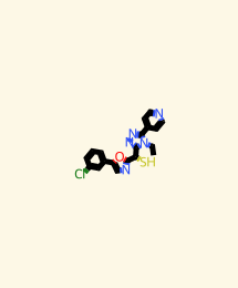 CCn1c(-c2ccncc2)nnc1C(S)c1ncc(-c2cccc(Cl)c2)o1